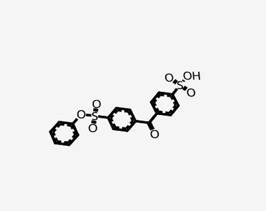 O=C(c1ccc(S(=O)(=O)O)cc1)c1ccc(S(=O)(=O)Oc2ccccc2)cc1